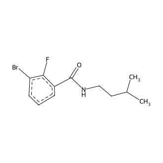 CC(C)CCNC(=O)c1cccc(Br)c1F